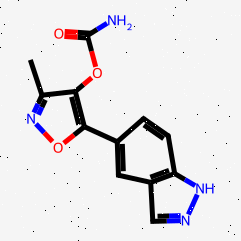 Cc1noc(-c2ccc3[nH]ncc3c2)c1OC(N)=O